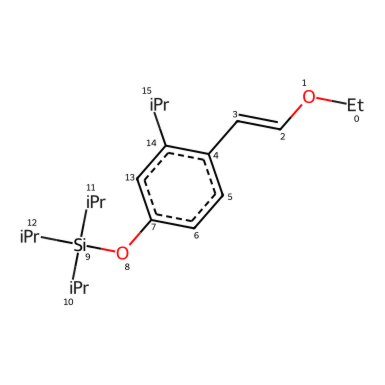 CCOC=Cc1ccc(O[Si](C(C)C)(C(C)C)C(C)C)cc1C(C)C